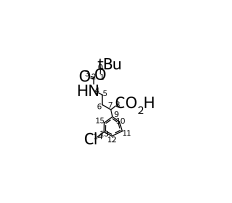 CC(C)(C)OC(=O)NCCC(C(=O)O)c1cccc(Cl)c1